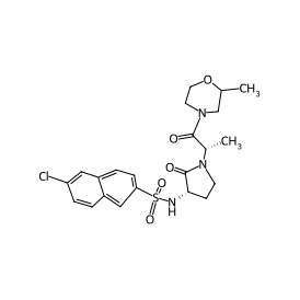 CC1CN(C(=O)[C@H](C)N2CC[C@H](NS(=O)(=O)c3ccc4cc(Cl)ccc4c3)C2=O)CCO1